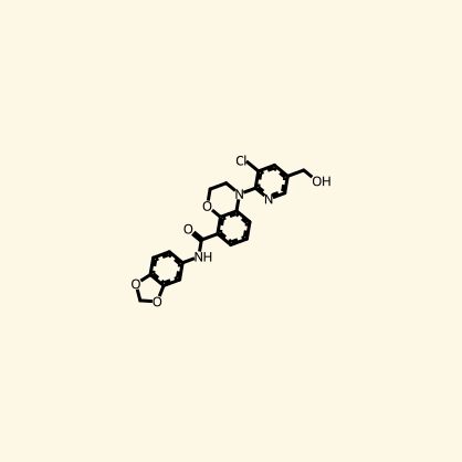 O=C(Nc1ccc2c(c1)OCO2)c1cccc2c1OCCN2c1ncc(CO)cc1Cl